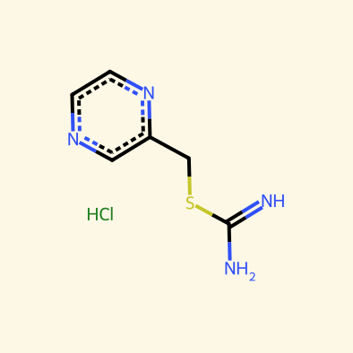 Cl.N=C(N)SCc1cnccn1